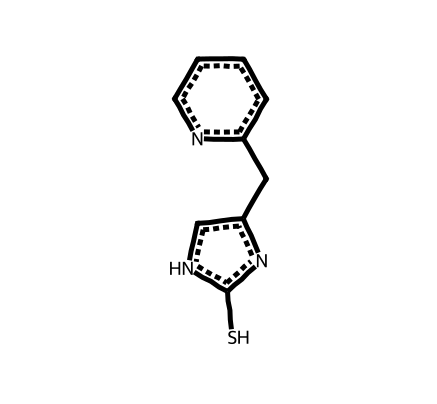 Sc1nc(Cc2ccccn2)c[nH]1